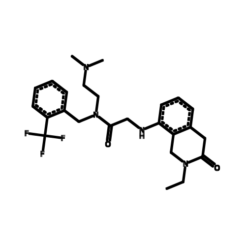 CCN1Cc2c(cccc2NCC(=O)N(CCN(C)C)Cc2ccccc2C(F)(F)F)CC1=O